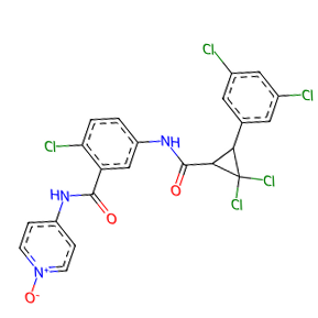 O=C(Nc1cc[n+]([O-])cc1)c1cc(NC(=O)C2C(c3cc(Cl)cc(Cl)c3)C2(Cl)Cl)ccc1Cl